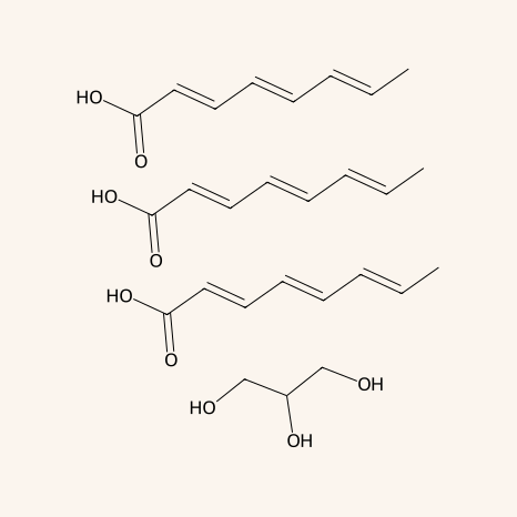 CC=CC=CC=CC(=O)O.CC=CC=CC=CC(=O)O.CC=CC=CC=CC(=O)O.OCC(O)CO